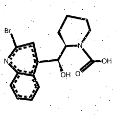 O=C(O)N1CCCC[C@@H]1[C@@H](O)c1cc(Br)nc2ccccc12